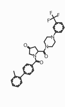 Cc1ccccc1-c1ccc(C(=O)N2CC(=O)CC2C(=O)N2CCN(c3cccc(C(F)(F)F)c3)CC2)cc1